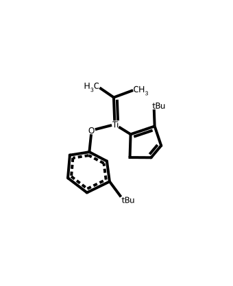 C[C](C)=[Ti]([O]c1cccc(C(C)(C)C)c1)[C]1=C(C(C)(C)C)C=CC1